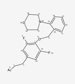 CC(=O)CCc1cc(F)c(OCc2ccccc2N2CCOCC2)c(F)c1